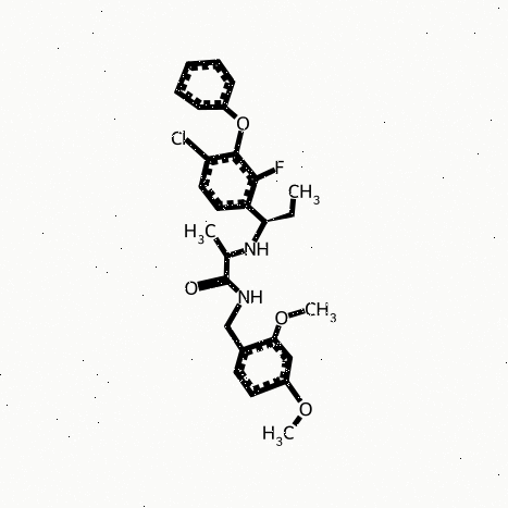 CC[C@@H](NC(C)C(=O)NCc1ccc(OC)cc1OC)c1ccc(Cl)c(Oc2ccccc2)c1F